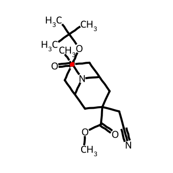 COC(=O)C1(CC#N)CC2CN(C)CC(C1)N2C(=O)OC(C)(C)C